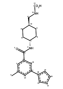 Cc1cc(C(=O)N[C@H]2CC[C@H](CNC(=O)O)CC2)nc(-n2ccnc2)n1